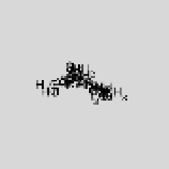 CC(CO)c1ccc(-c2cc(C(N)=O)c(Nc3cccc(CNCC(=O)NCCP(C)(C)=O)n3)s2)c(F)c1